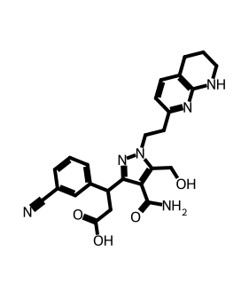 N#Cc1cccc(C(CC(=O)O)c2nn(CCc3ccc4c(n3)NCCC4)c(CO)c2C(N)=O)c1